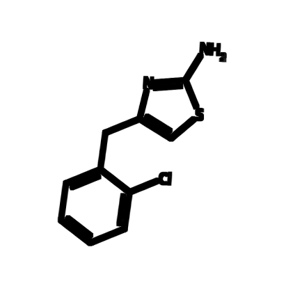 Nc1nc(Cc2ccccc2Cl)cs1